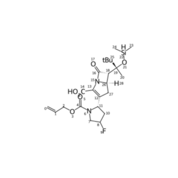 C=CCOC(=O)N1CC(F)C[C@H]1C1=C(C(=O)O)N2C(=O)[C@H]([C@@](C)(O[SiH](C)C)C(C)(C)C)[C@H]2C1